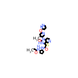 C=CC(=O)N[C@H]1CCC[C@H]1NC(=O)c1sc2nccc3c2c1NC(=O)N3c1cnc(Oc2cccnn2)cc1C